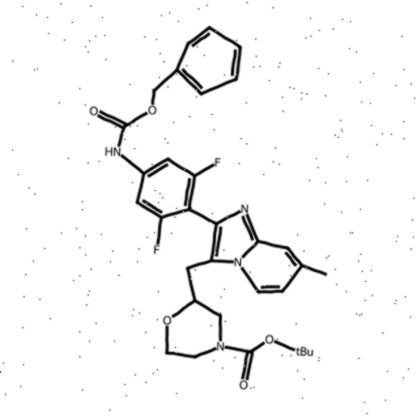 Cc1ccn2c(CC3CN(C(=O)OC(C)(C)C)CCO3)c(-c3c(F)cc(NC(=O)OCc4ccccc4)cc3F)nc2c1